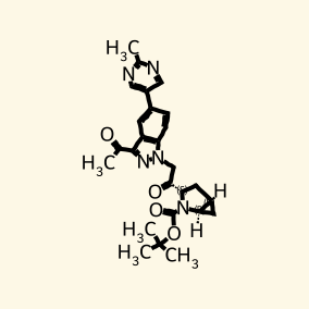 CC(=O)c1nn(CC(=O)[C@@H]2C[C@H]3C[C@H]3N2C(=O)OC(C)(C)C)c2ccc(-c3cnc(C)nc3)cc12